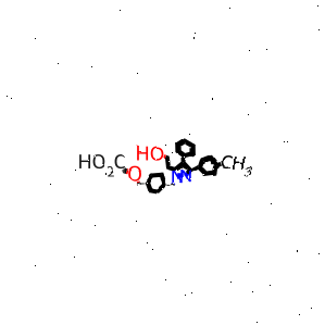 Cc1ccc(-c2nn(C[C@H]3CC[C@@H](COCC(=O)O)CC3)c(CCO)c2-c2ccccc2)cc1